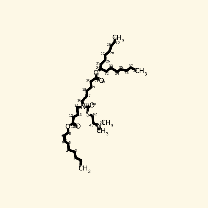 CCCCCC/C=C\COC(=O)CCCN(CCCCCC(=O)OC(CCCCCCC)CCCCCCC)C(=O)SCCN(C)C